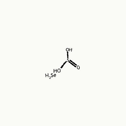 O=S(O)O.[SeH2]